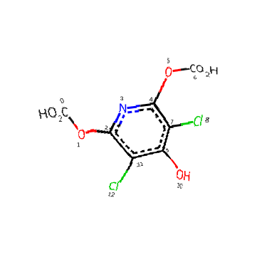 O=C(O)Oc1nc(OC(=O)O)c(Cl)c(O)c1Cl